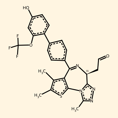 Cc1sc2c(c1C)C(c1ccc(-c3ccc(O)cc3OC(F)(F)F)cc1)=N[C@@H](CC=O)c1nnc(C)n1-2